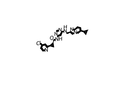 O=C(Nc1cc(NCc2cn3cc(C4CC4)ccc3n2)ncn1)[C@H]1CC1c1cc(Cl)ccn1